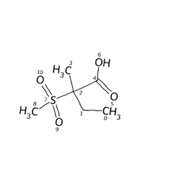 CCC(C)(C(=O)O)S(C)(=O)=O